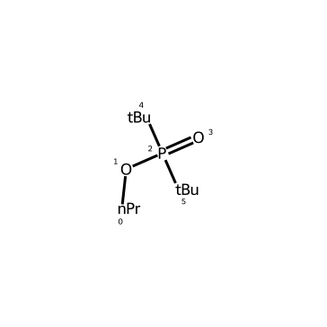 CCCOP(=O)(C(C)(C)C)C(C)(C)C